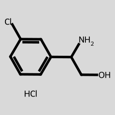 Cl.NC(CO)c1cccc(Cl)c1